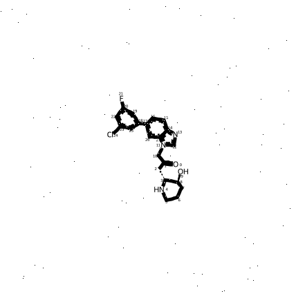 O=C(C[C@H]1NCCC[C@@H]1O)Cn1cnc2ccc(-c3cc(F)cc(Cl)c3)cc21